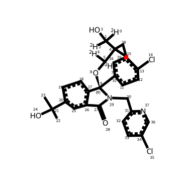 [2H]C([2H])(O)C1(C([2H])([2H])O[C@]2(c3ccc(Cl)cc3)c3ccc(C(C)(C)O)cc3C(=O)N2Cc2ccc(Cl)cn2)CC1